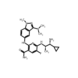 C[C@@H](Nc1nc(Nc2ccc3c(c2)c(N(C)C)nn3C)c(C(N)=O)cc1F)[C@@H](N)C1CC1